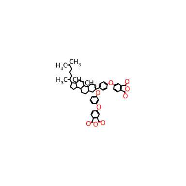 CC(C)CCCC(C)C1CCC2C3CCC4CC(Oc5cccc(Oc6ccc7c(c6)C(=O)OC7=O)c5)(c5ccc(Oc6ccc7c(c6)C(=O)OC7=O)cc5)CCC4(C)C3CCC12C